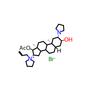 C=CC[N+]1([C@H]2CC3C4CC[C@H]5C[C@H](O)[C@@H](N6CCCC6)C[C@]5(C)C4CC[C@]3(C)[C@@H]2OC(C)=O)CCCC1.[Br-]